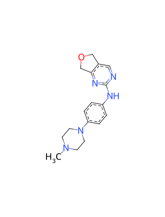 CN1CCN(c2ccc(Nc3ncc4c(n3)COC4)cc2)CC1